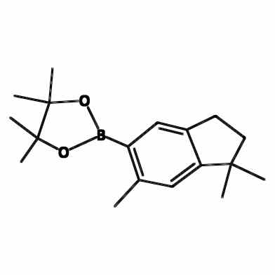 Cc1cc2c(cc1B1OC(C)(C)C(C)(C)O1)CCC2(C)C